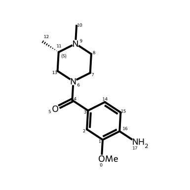 COc1cc(C(=O)N2CCN(C)[C@@H](C)C2)ccc1N